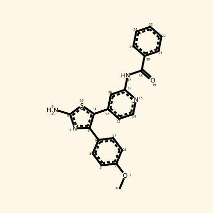 COc1ccc(-c2nc(N)sc2-c2ccnc(NC(=O)c3ccccc3)c2)cc1